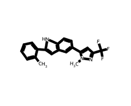 Cc1ccccc1-c1cc2cc(-c3cc(C(F)(F)F)nn3C)ccc2[nH]1